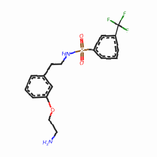 NCCOc1cccc(CCNS(=O)(=O)c2cccc(C(F)(F)F)c2)c1